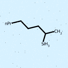 [CH2]C([SiH3])CCCCCC